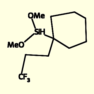 CO[SiH](OC)C1(CCC(F)(F)F)CCCCC1